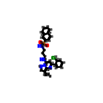 Bc1cnn2c(NCCCNS(=O)(=O)c3ccc4ccccc4c3)cc(-c3ccccc3Cl)nc12